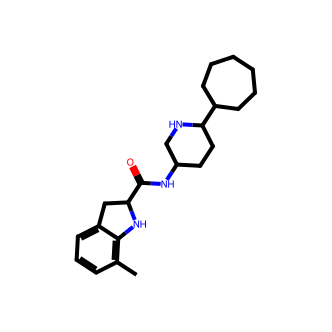 Cc1cccc2c1NC(C(=O)NC1CCC(C3CCCCCC3)NC1)C2